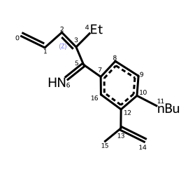 C=C/C=C(/CC)C(=N)c1ccc(CCCC)c(C(=C)C)c1